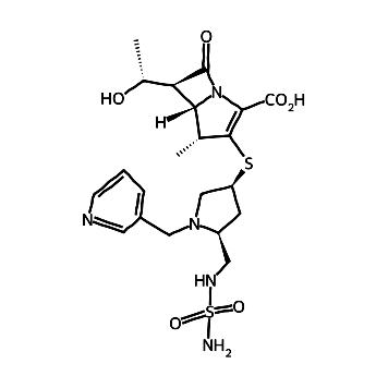 C[C@@H](O)[C@H]1C(=O)N2C(C(=O)O)=C(S[C@H]3C[C@@H](CNS(N)(=O)=O)N(Cc4cccnc4)C3)[C@H](C)[C@H]12